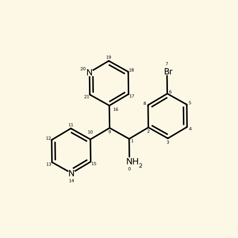 NC(c1cccc(Br)c1)C(c1cccnc1)c1cccnc1